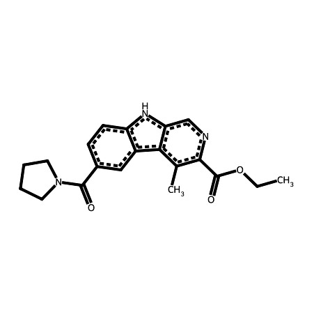 CCOC(=O)c1ncc2[nH]c3ccc(C(=O)N4CCCC4)cc3c2c1C